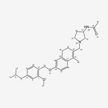 COc1cc(CC(C)C)ccc1COc1ccc2c(c1)CCC(CN1CCC(NC(C)=O)C1)=C2C